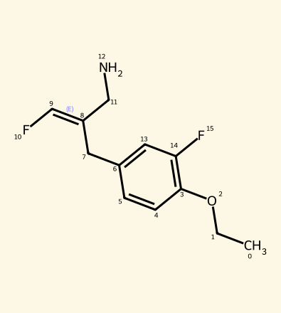 CCOc1ccc(C/C(=C\F)CN)cc1F